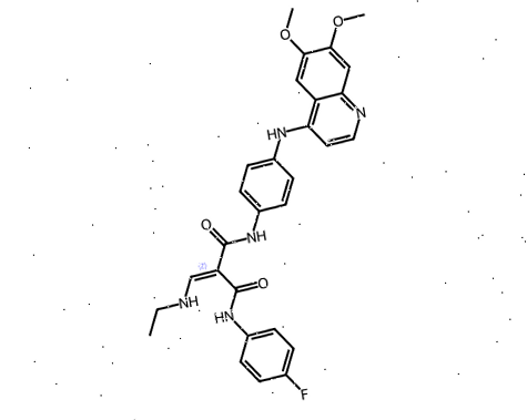 CCN/C=C(\C(=O)Nc1ccc(F)cc1)C(=O)Nc1ccc(Nc2ccnc3cc(OC)c(OC)cc23)cc1